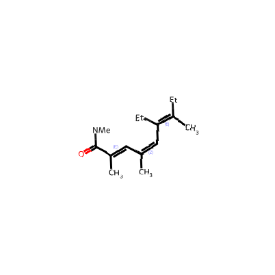 CC/C(C)=C(/C=C(C)\C=C(/C)C(=O)NC)CC